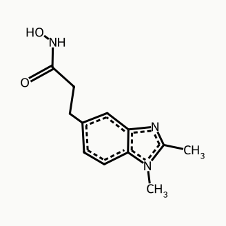 Cc1nc2cc(CCC(=O)NO)ccc2n1C